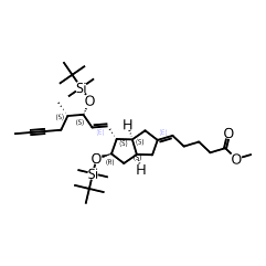 CC#CC[C@H](C)[C@@H](/C=C/[C@@H]1[C@H]2C/C(=C/CCCC(=O)OC)C[C@H]2C[C@H]1O[Si](C)(C)C(C)(C)C)O[Si](C)(C)C(C)(C)C